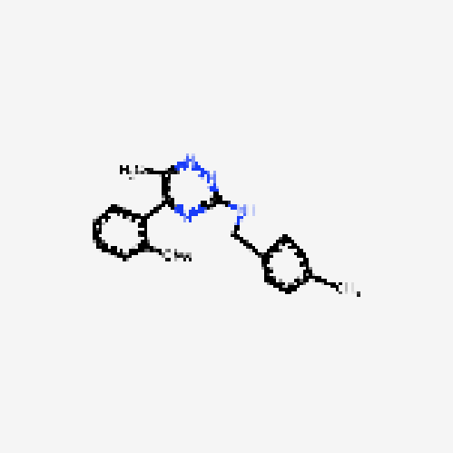 COc1ccccc1-c1nc(NCc2ccc(C)cc2)nnc1C